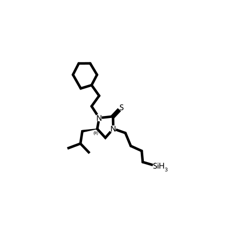 CC(C)C[C@@H]1CN(CCCC[SiH3])C(=S)N1CCC1CCCCC1